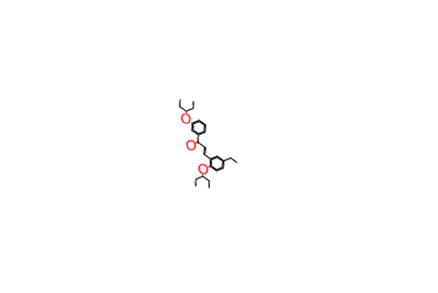 CCc1ccc(OC(CC)CC)c(C=CC(=O)c2cccc(OC(CC)CC)c2)c1